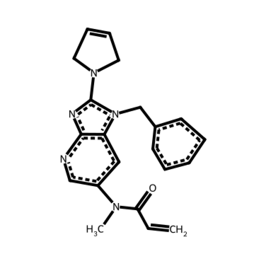 C=CC(=O)N(C)c1cnc2nc(N3CC=CC3)n(Cc3ccccc3)c2c1